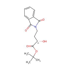 CC(C)(C)OC(=O)[C@@H](O)CCN1C(=O)c2ccccc2C1=O